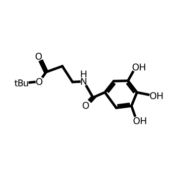 CC(C)(C)OC(=O)CCNC(=O)c1cc(O)c(O)c(O)c1